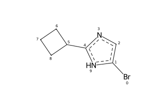 Brc1cnc(C2CCC2)[nH]1